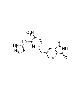 O=c1[nH][nH]c2cc(Nc3ccc([N+](=O)[O-])c(Nc4ncn[nH]4)n3)ccc12